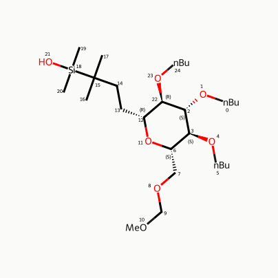 CCCCO[C@@H]1[C@@H](OCCCC)[C@H](COCOC)O[C@H](CCC(C)(C)[Si](C)(C)O)[C@H]1OCCCC